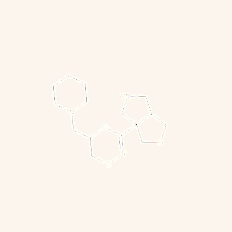 C1CCN(CC2CON=C(C34CNCC3COC4)O2)CC1